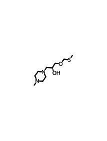 CSCOC[C@@H](O)CN1CCN(C)CC1